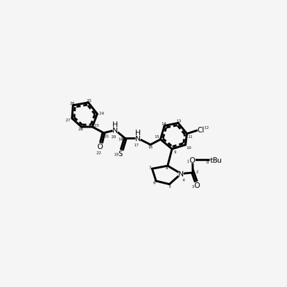 CC(C)(C)OC(=O)N1CCCC1c1cc(Cl)ccc1CNC(=S)NC(=O)c1ccccc1